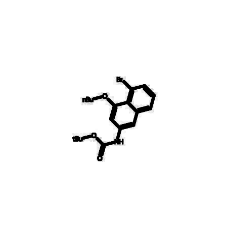 CCCCOc1cc(NC(=O)OC(C)(C)C)cc2cccc(Br)c12